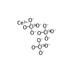 [Ce+3].[O-][Cl+3]([O-])([O-])[O-].[O-][Cl+3]([O-])([O-])[O-].[O-][Cl+3]([O-])([O-])[O-]